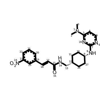 CN(C)c1ccnc(N[C@H]2CC[C@@H](CNC(=O)/C=C/c3cccc([N+](=O)[O-])c3)CC2)n1